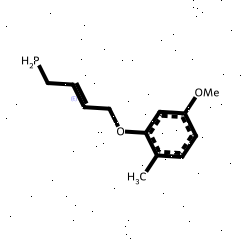 COc1ccc(C)c(OC/C=C/CP)c1